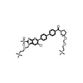 CS(C)(C)CCOCO[C@@H]1CCN(C(=O)c2ccc(-c3ccc(-c4nc5nc(S(C)(=O)=O)n(COCCS(C)(C)C)c5cc4Cl)cc3)cc2)C1